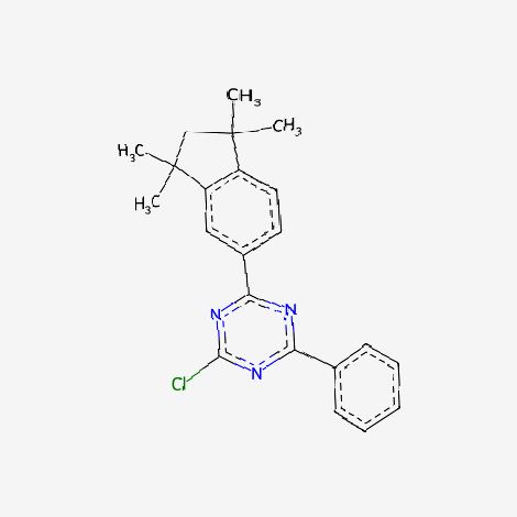 CC1(C)CC(C)(C)c2cc(-c3nc(Cl)nc(-c4ccccc4)n3)ccc21